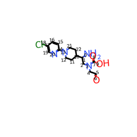 NC(CN(CC=O)C(=O)O)C1CCN(c2ccc(Cl)cn2)CC1